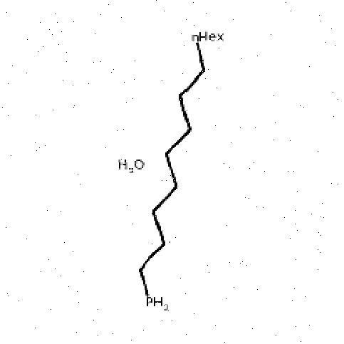 CCCCCCCCCCCCCCP.O